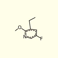 CCc1cc(F)cnc1OC